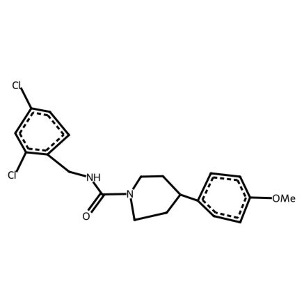 COc1ccc(C2CCN(C(=O)NCc3ccc(Cl)cc3Cl)CC2)cc1